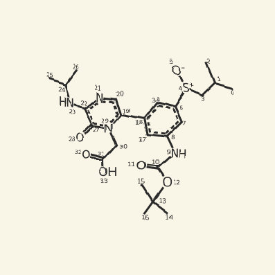 CC(C)C[S+]([O-])c1cc(NC(=O)OC(C)(C)C)cc(-c2cnc(NC(C)C)c(=O)n2CC(=O)O)c1